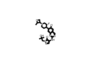 CC1OCC1N1CCC(c2cc3nc(Nc4cnn(CC(C)(C)O)c4Cl)ncc3cc2Cl)[C@@H](F)C1